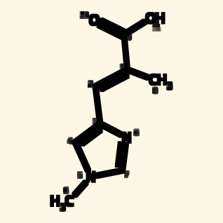 C/C(=C\c1cn(C)cn1)C(=O)O